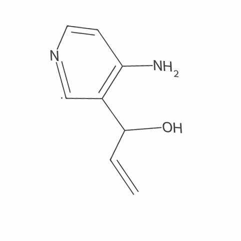 C=CC(O)c1[c]nccc1N